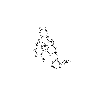 COc1ccccc1CN1CCN(C2(c3cncc(Br)c3)C(=O)c3ccccc3C2=O)CC1